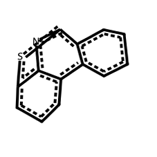 c1ccc2c(c1)c1nc3c(cccc23)s1